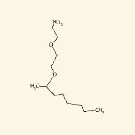 CCCCCCC(C)OCCOCCN